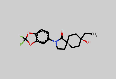 CC[C@]1(O)CC[C@]2(CCN(c3ccc4c(c3)OC(F)(F)O4)C2=O)CC1